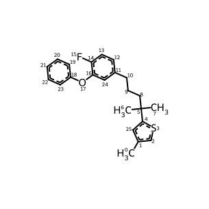 Cc1csc(C(C)(C)CCCc2ccc(F)c(Oc3ccccc3)c2)c1